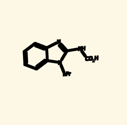 CCCn1c(NC(=O)O)nc2ccccc21